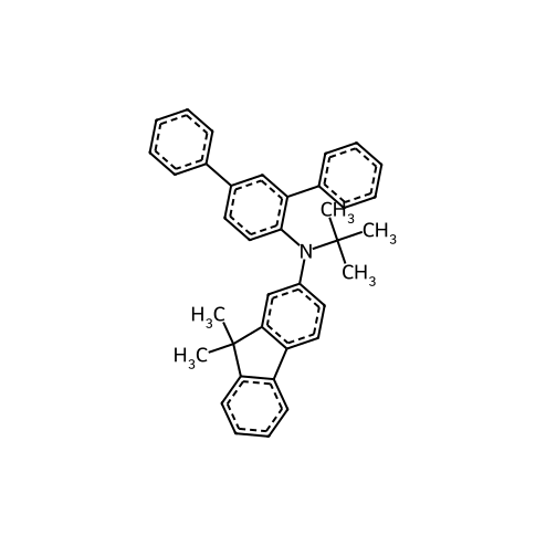 CC1(C)c2ccccc2-c2ccc(N(c3ccc(-c4ccccc4)cc3-c3ccccc3)C(C)(C)C)cc21